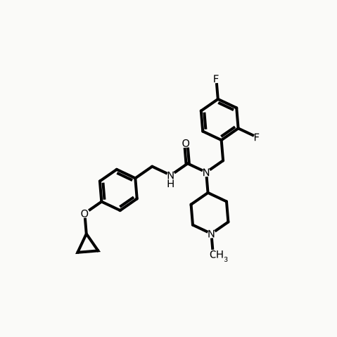 CN1CCC(N(Cc2ccc(F)cc2F)C(=O)NCc2ccc(OC3CC3)cc2)CC1